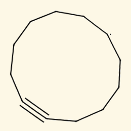 C1#CCCCCC[CH]CCCC1